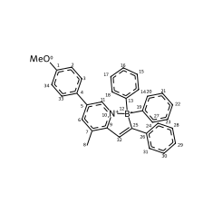 COc1ccc(-c2cc(C)c3[n+](c2)[B-](c2ccccc2)(c2ccccc2)C(c2ccccc2)=C3)cc1